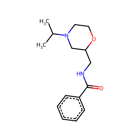 CC(C)N1CCOC(CNC(=O)c2ccccc2)C1